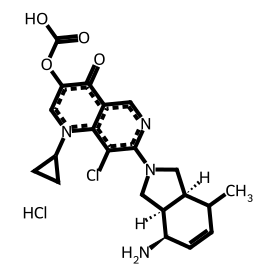 CC1C=C[C@@H](N)[C@H]2CN(c3ncc4c(=O)c(OC(=O)O)cn(C5CC5)c4c3Cl)C[C@@H]12.Cl